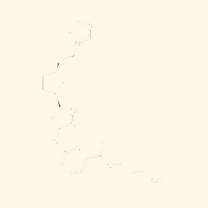 NCCCNC(=O)c1cccc(Nc2cc([C@H]3CC[C@@H](OC(=S)n4ccnc4)C3)[nH]n2)n1